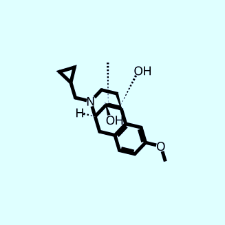 COc1ccc2c(c1)[C@]13CCN(CC4CC4)[C@H](C2)[C@]1(O)C[C@H](C)[C@H](O)C3